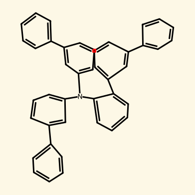 c1ccc(-c2cccc(-c3ccccc3N(c3cccc(-c4ccccc4)c3)c3cccc(-c4ccccc4)c3)c2)cc1